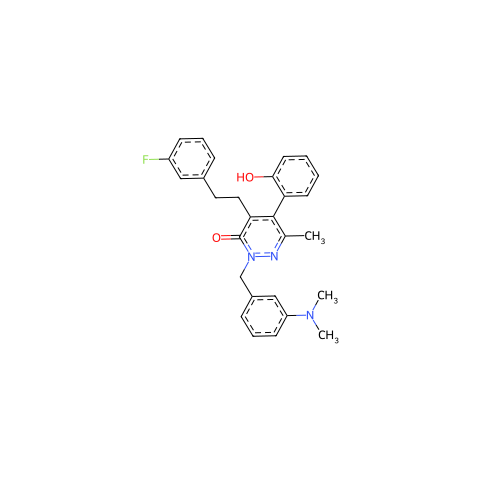 Cc1nn(Cc2cccc(N(C)C)c2)c(=O)c(CCc2cccc(F)c2)c1-c1ccccc1O